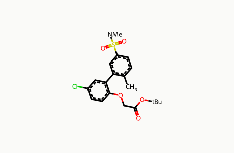 CNS(=O)(=O)c1ccc(C)c(-c2cc(Cl)ccc2OCC(=O)OC(C)(C)C)c1